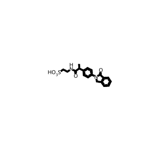 CC(C(=O)NCCS(=O)(=O)O)c1ccc(N2Cc3ccccc3C2=O)cc1